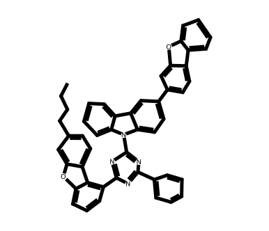 CCCCc1ccc2c(c1)oc1cccc(-c3nc(-c4ccccc4)nc(-n4c5ccccc5c5cc(-c6ccc7c(c6)oc6ccccc67)ccc54)n3)c12